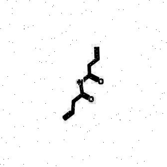 C=CCC(=O)[N+]C(=O)CC=C